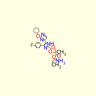 C=CC(N)OC(=O)C1(C)COC(c2nc(-c3ccc(F)cc3)c(-c3ccnc(OC4CCCCC4)n3)[nH]2)OC1